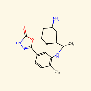 C[C@H](Nc1cc(-c2n[nH]c(=O)o2)ccc1C(F)(F)F)[C@H]1CCC[C@@H](N)C1